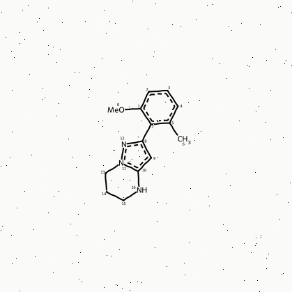 COc1cccc(C)c1-c1cc2n(n1)CCCN2